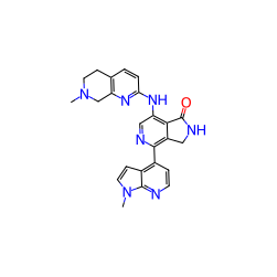 CN1CCc2ccc(Nc3cnc(-c4ccnc5c4ccn5C)c4c3C(=O)NC4)nc2C1